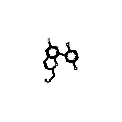 NCC1C=Cc2cc(F)cc(-c3cc(Cl)ccc3Cl)c2O1